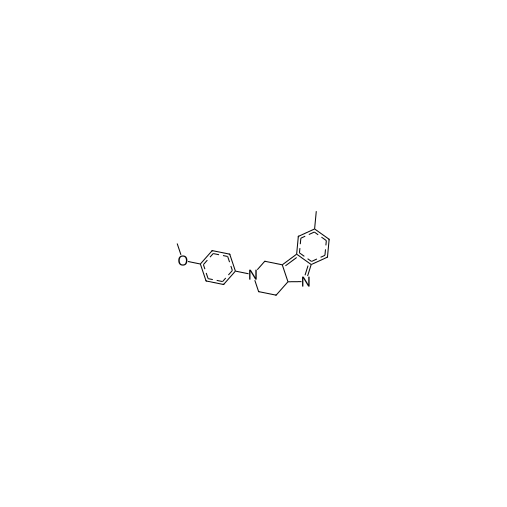 COc1ccc(N2CCC3N=c4ccc(C)cc4=C3C2)cc1